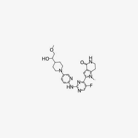 COCC(O)C1CCN(c2ccc(Nc3ncc(F)c(-c4cc5c(n4C)CCNC5=O)n3)nc2)CC1